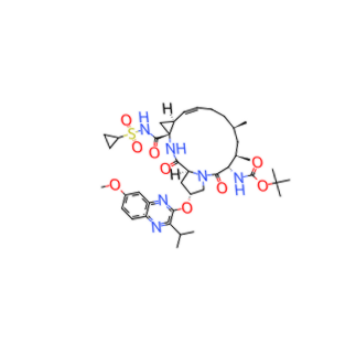 COc1ccc2nc(C(C)C)c(O[C@@H]3C[C@H]4C(=O)N[C@]5(C(=O)NS(=O)(=O)C6CC6)C[C@H]5/C=C\CC[C@@H](C)C[C@@H](C)[C@H](NC(=O)OC(C)(C)C)C(=O)N4C3)nc2c1